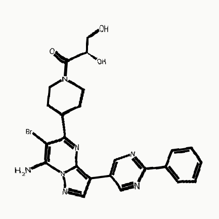 Nc1c(Br)c(C2CCN(C(=O)[C@H](O)CO)CC2)nc2c(-c3cnc(-c4ccccc4)nc3)cnn12